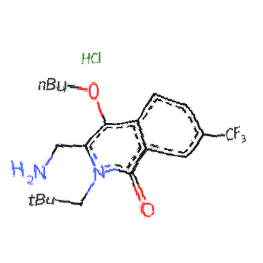 CCCCOc1c(CN)n(CC(C)(C)C)c(=O)c2cc(C(F)(F)F)ccc12.Cl